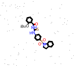 CC(C)COc1ccccc1C(=O)NC(=S)Nc1ccc(S(=O)(=O)N2CCc3ccccc32)cc1